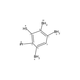 Bc1cc(B)c(C(C)C)c(S)c1B